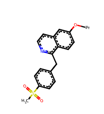 CC(C)Oc1ccc2c(Cc3ccc(S(C)(=O)=O)cc3)nccc2c1